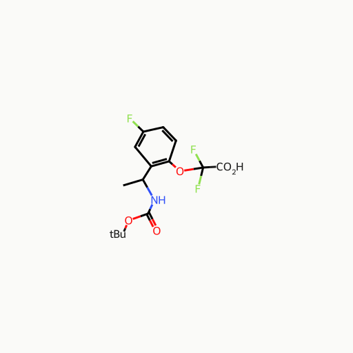 CC(NC(=O)OC(C)(C)C)c1cc(F)ccc1OC(F)(F)C(=O)O